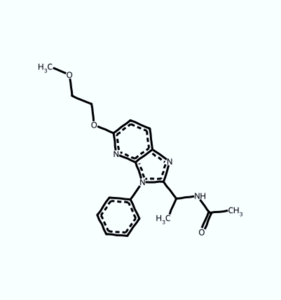 COCCOc1ccc2nc(C(C)NC(C)=O)n(-c3ccccc3)c2n1